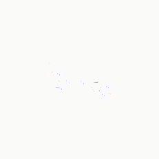 Cc1c(CN2CCC3CN(c4ncsc4NC(=O)CC(F)(F)F)CC32)ccc2[nH]c(=O)[nH]c12